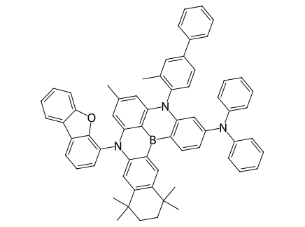 Cc1cc2c3c(c1)N(c1cccc4c1oc1ccccc14)c1cc4c(cc1B3c1ccc(N(c3ccccc3)c3ccccc3)cc1N2c1ccc(-c2ccccc2)cc1C)C(C)(C)CCC4(C)C